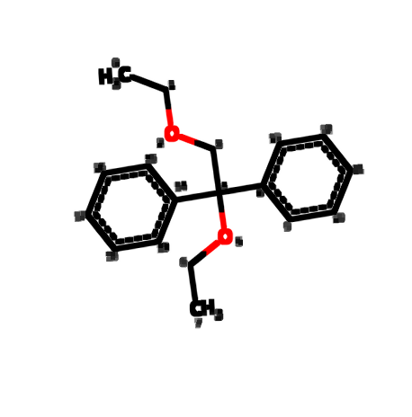 CCOCC(OCC)(c1ccccc1)c1ccccc1